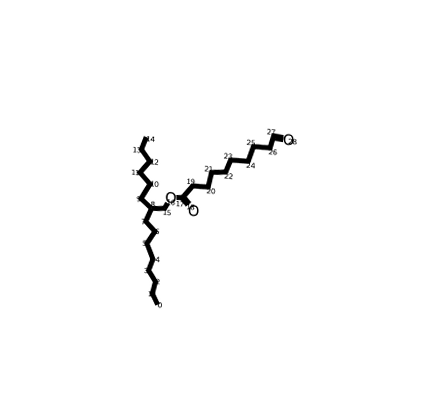 CCCCCCCCC(CCCCCC)COC(=O)CCCCCCCCC=O